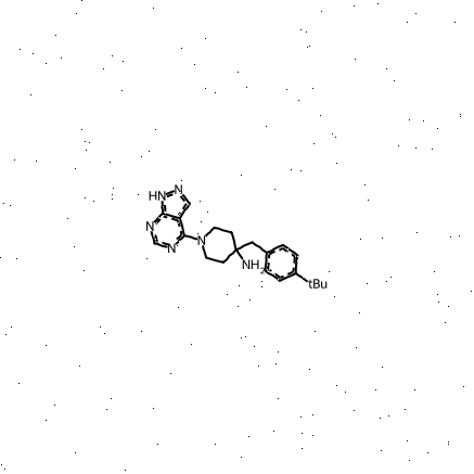 CC(C)(C)c1ccc(CC2(N)CCN(c3ncnc4[nH]ncc34)CC2)cc1